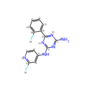 Nc1nc(Nc2ccnc(F)c2)nc(-c2ccccc2F)n1